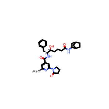 COc1cc(C(=O)N[C@@H](Cc2ccccc2)[C@@H](O)CCCC(=O)NC2CC3CCC2C3)cc(N2CCCC2=O)n1